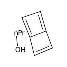 CCCO.c1cc2ccc1-2